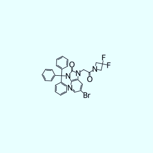 O=C(Cn1c(=O)n(C(c2ccccc2)(c2ccccc2)c2ccccc2)c2ncc(Br)cc21)N1CC(F)(F)C1